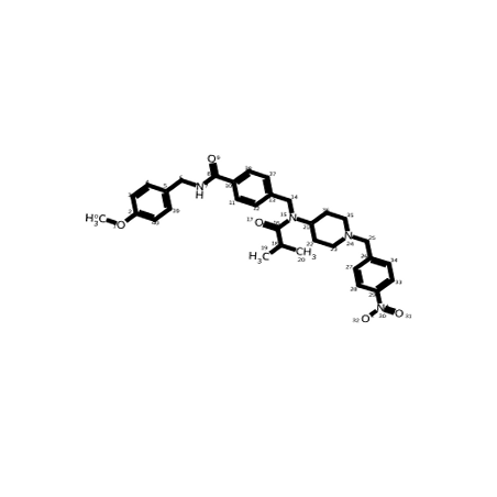 COc1ccc(CNC(=O)c2ccc(CN(C(=O)C(C)C)C3CCN(Cc4ccc([N+](=O)[O-])cc4)CC3)cc2)cc1